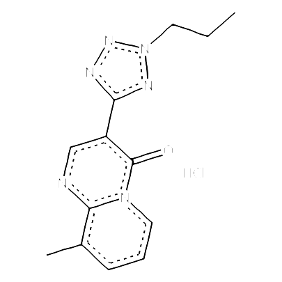 CCCn1nnc(-c2cnc3c(C)cccn3c2=O)n1.Cl